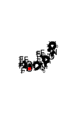 CN(Cc1cc(Oc2nc3ccccc3s2)cc(C(F)(F)F)c1)C1(C)CCN(C(=O)OC(C(F)(F)F)C(F)(F)F)CC1